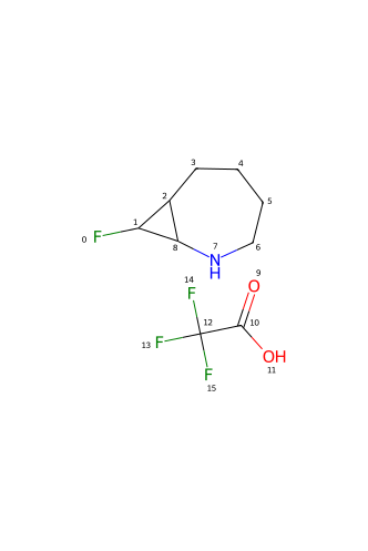 FC1C2CCCCNC12.O=C(O)C(F)(F)F